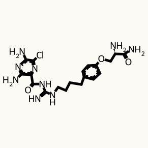 N=C(NCCCCc1ccc(OC[C@H](N)C(N)=O)cc1)NC(=O)c1nc(Cl)c(N)nc1N